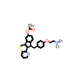 CCN(CC)CCOc1ccc(CC2C3=C(CSc4cccnc43)c3cc(OC(=O)C(C)(C)C)ccc32)cc1